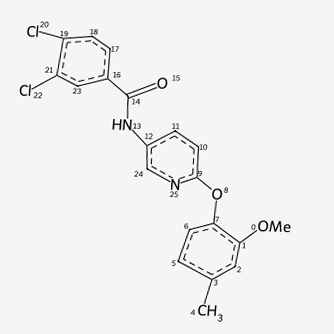 COc1cc(C)ccc1Oc1ccc(NC(=O)c2ccc(Cl)c(Cl)c2)cn1